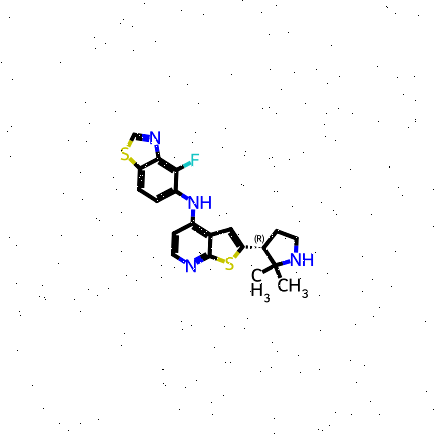 CC1(C)NCC[C@H]1c1cc2c(Nc3ccc4scnc4c3F)ccnc2s1